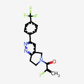 C=C(F)C(=O)N1CCc2nnc(-c3ccc(C(F)(F)F)cc3)cc2C1